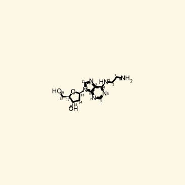 NCCNc1ncnc2c1ncn2[C@H]1C[C@H](O)[C@@H](CO)O1